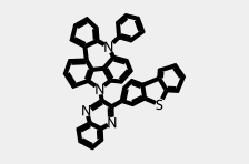 c1ccc(-n2c3ccccc3c3cccc4c3c3c2cccc3n4-c2nc3ccccc3nc2-c2ccc3c(c2)sc2ccccc23)cc1